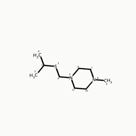 CC(C)SCN1CCN(C)CC1